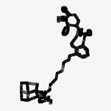 CN(CCCCCCCCc1cccc2c1CN(C1CCC(=O)NC1=O)C2=O)C12CC3CC4CC(C1)C432